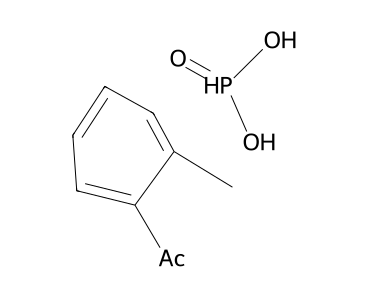 CC(=O)c1ccccc1C.O=[PH](O)O